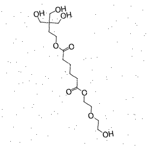 O=C(CCCCC(=O)OCCC(CO)(CO)CO)OCCOCCO